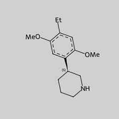 CCc1cc(OC)c([C@@H]2CCCNC2)cc1OC